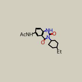 CCC1CCC(n2c(=O)[nH]c3ccc(NC(C)=O)cc3c2=O)CC1